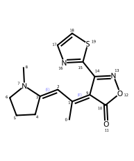 CC(/C=C1\CCCN1C)=C1\C(=O)ON=C1c1nccs1